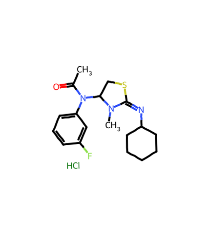 CC(=O)N(c1cccc(F)c1)C1CSC(=NC2CCCCC2)N1C.Cl